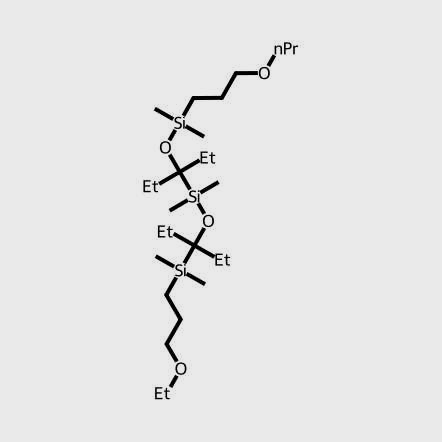 CCCOCCC[Si](C)(C)OC(CC)(CC)[Si](C)(C)OC(CC)(CC)[Si](C)(C)CCCOCC